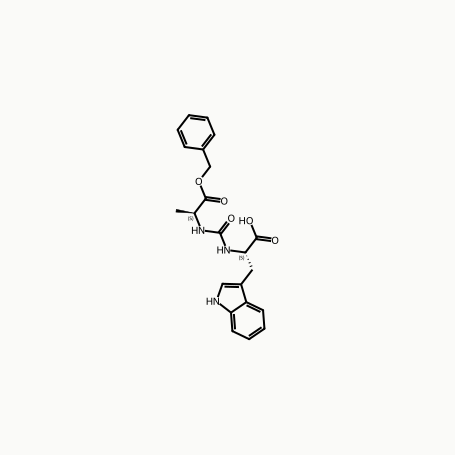 C[C@H](NC(=O)N[C@@H](Cc1c[nH]c2ccccc12)C(=O)O)C(=O)OCc1ccccc1